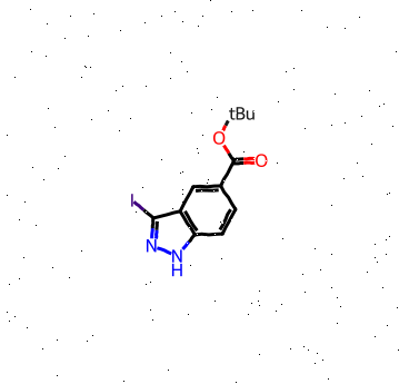 CC(C)(C)OC(=O)c1ccc2[nH]nc(I)c2c1